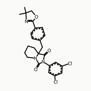 CC1(C)COC(c2ccc(CC34CCCCN3C(=O)N(c3cc(Cl)cc(Cl)c3)C4=O)cc2)=N1